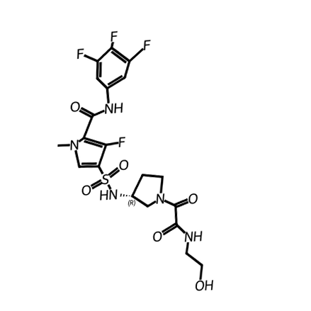 Cn1cc(S(=O)(=O)N[C@@H]2CCN(C(=O)C(=O)NCCO)C2)c(F)c1C(=O)Nc1cc(F)c(F)c(F)c1